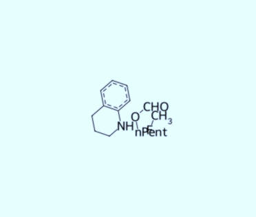 CCCCCOC=O.CF.c1ccc2c(c1)CCCN2